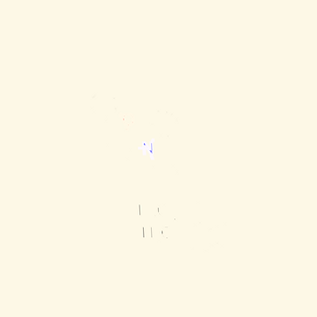 CC1(C)c2ccc3ccccc3c2-c2ccc3cc(N(c4ccccc4)c4cccc5c4oc4c(C6CCCCC6)cccc45)ccc3c21